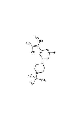 CN/C(=C(\C)O)c1cc(F)cc(N2CCN(C(C)(C)C)CC2)c1